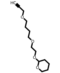 C#CCOCCCCOCCOC1CCCCO1